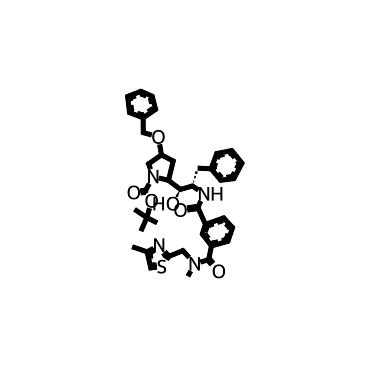 Cc1csc(CN(C)C(=O)c2cccc(C(=O)N[C@@H](Cc3ccccc3)[C@H](O)C3CC(OCc4ccccc4)CN3C(=O)OC(C)(C)C)c2)n1